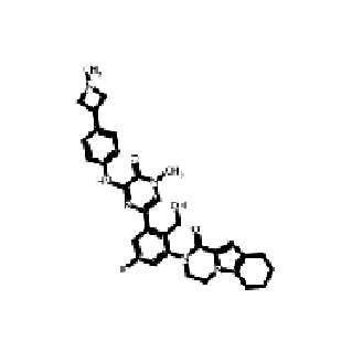 CN1CC(c2ccc(Nc3nc(-c4cc(F)cc(N5CCn6c(cc7c6CCCC7)C5=O)c4CO)cn(C)c3=O)cc2)C1